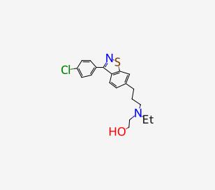 CCN(CCO)CCCc1ccc2c(-c3ccc(Cl)cc3)nsc2c1